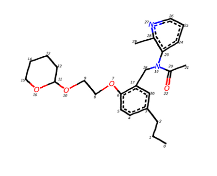 CCCc1ccc(OCCOC2CCCCO2)c(CN(C(C)=O)c2cccnc2C)c1